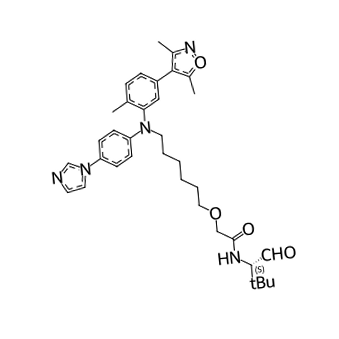 Cc1ccc(-c2c(C)noc2C)cc1N(CCCCCCOCC(=O)N[C@H](C=O)C(C)(C)C)c1ccc(-n2ccnc2)cc1